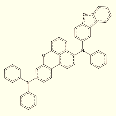 c1ccc(N(c2ccccc2)c2ccc3c(c2)Oc2cccc4c(N(c5ccccc5)c5ccc6oc7ccccc7c6c5)ccc-3c24)cc1